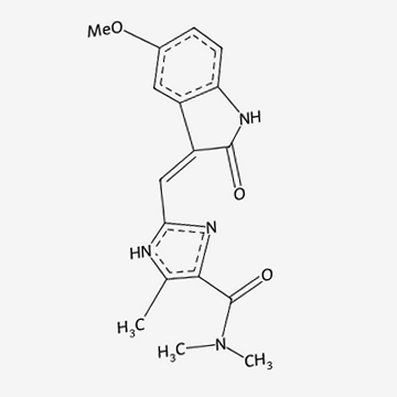 COc1ccc2c(c1)/C(=C/c1nc(C(=O)N(C)C)c(C)[nH]1)C(=O)N2